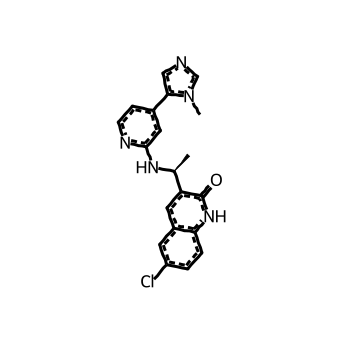 C[C@H](Nc1cc(-c2cncn2C)ccn1)c1cc2cc(Cl)ccc2[nH]c1=O